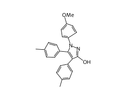 COc1ccc(-n2nc(O)c(-c3ccc(C)cc3)c2-c2ccc(C)cc2)cc1